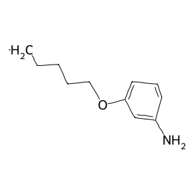 [CH2]CCCCOc1cccc(N)c1